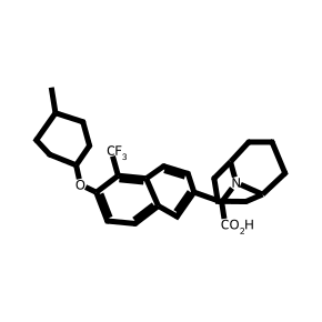 CC1CCC(Oc2ccc3cc(C(C(=O)O)N4C5CCCC4CCC5)ccc3c2C(F)(F)F)CC1